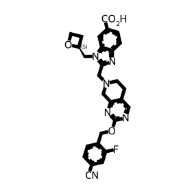 N#Cc1ccc(COc2ncc3c(n2)CN(Cc2nc4ccc(C(=O)O)cc4n2C[C@@H]2CCO2)CC3)c(F)c1